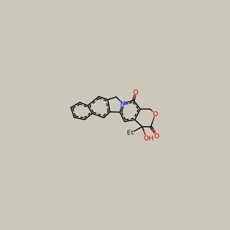 CCC1(O)C(=O)OCc2c1cc1n(c2=O)Cc2cc3ccccc3cc2-1